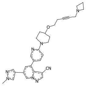 Cn1cc(-c2cc(-c3ccc(N4CCC(OCCC#CCN5CCC5)CC4)nc3)c3c(C#N)cnn3c2)cn1